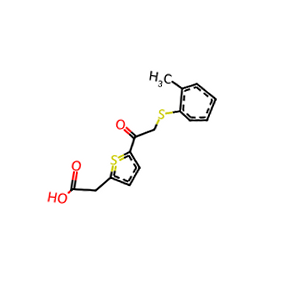 Cc1ccccc1SCC(=O)c1ccc(CC(=O)O)s1